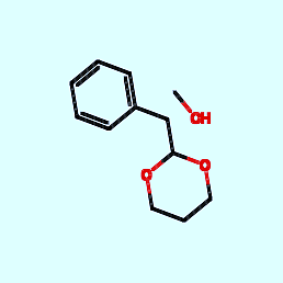 CO.c1ccc(CC2OCCCO2)cc1